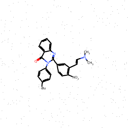 CCC(C)c1ccc(-n2c(-c3ccc([N+](=O)[O-])c(C=CN(C)C)c3)nc3ccccc3c2=O)cc1